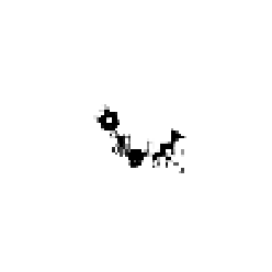 CN1NC(C2CC2)CC1C(=O)NC1C[C@H](NC(=O)COc2ccc(Cl)c(F)c2)C2CC1C2